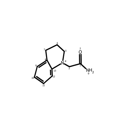 NC(=O)CN1CCCc2ccccc21